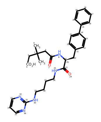 CC(C)(CC(=O)O)CC(=O)N[C@@H](Cc1ccc(-c2ccccc2)cc1)C(=O)NCCCCNc1ncccn1